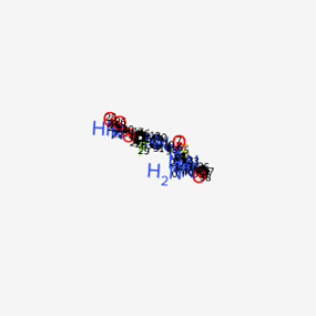 Nc1nc2c(sc(=O)n2CCN2CCN(c3ccc(OCc4n[nH]c(=O)o4)cc3F)CC2)c2nc(-c3ccco3)nn12